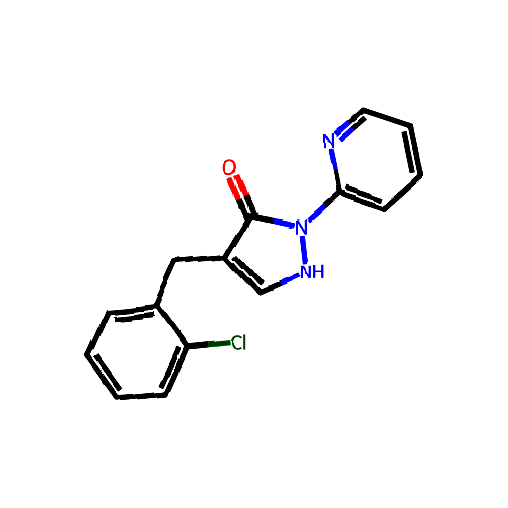 O=c1c(Cc2ccccc2Cl)c[nH]n1-c1ccccn1